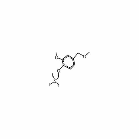 COCc1ccc(OCS(I)(I)I)c(OC)c1